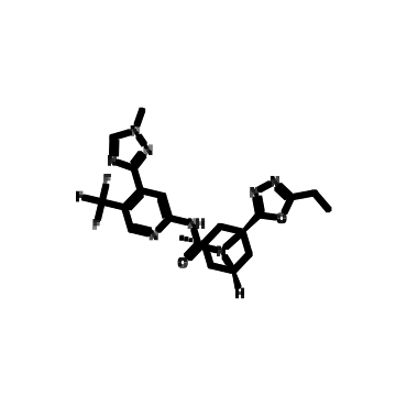 CCc1nnc([C@@]23C[C@@H](C)C[C@@H](C2)N3C(=O)Nc2cc(-c3ncn(C)n3)c(C(F)(F)F)cn2)o1